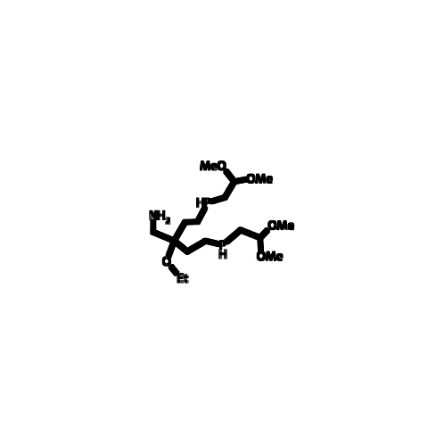 CCOC(CN)(CCPCC(OC)OC)CCPCC(OC)OC